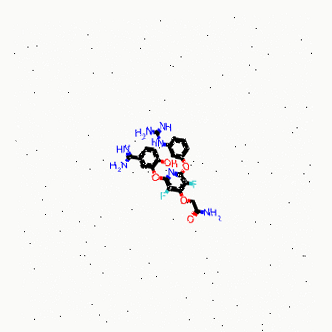 N=C(N)Nc1cccc(Oc2nc(Oc3cc(C(=N)N)ccc3O)c(F)c(OCC(N)=O)c2F)c1